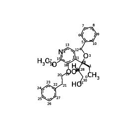 CC[C@](OCc1ccccc1)(c1ccnc(OC)c1OCCc1ccccc1)[C@H](O)CO